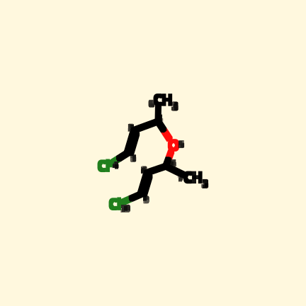 CC(C=CCl)OC(C)C=CCl